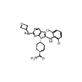 NC(=O)[C@H]1CC[C@H](n2c(Nc3c(Cl)cccc3Cl)nc3cnc(NC4COC4)nc32)CC1